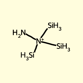 N[N+]([SiH3])([SiH3])[SiH3]